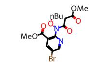 CCCCON(C(=O)CC(=O)OC)c1ncc(Br)cc1C(=O)OC